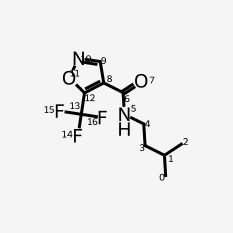 CC(C)CCNC(=O)c1cnoc1C(F)(F)F